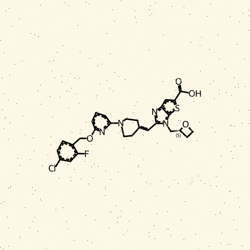 O=C(O)c1cc2nc(C=C3CCN(c4cccc(OCc5ccc(Cl)cc5F)n4)CC3)n(C[C@@H]3CCO3)c2s1